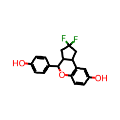 Oc1ccc(C2Oc3ccc(O)cc3C3CC(F)(F)CC32)cc1